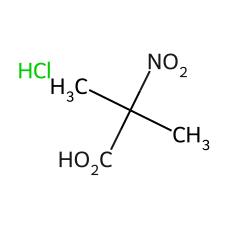 CC(C)(C(=O)O)[N+](=O)[O-].Cl